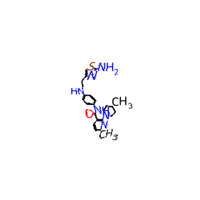 Cc1ccc(C(=O)Nc2ccc(NCCc3csc(N)n3)cc2)c(N2CCC(C)CC2)n1